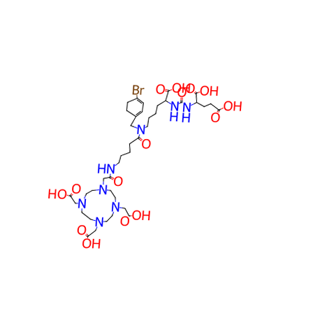 O=C(O)CCC(NC(=O)NC(CCCCN(CC1=CC=C(Br)CC1)C(=O)CCCCNC(=O)CN1CCN(CC(=O)O)CCN(CC(=O)O)CCN(CC(=O)O)CC1)C(=O)O)C(=O)O